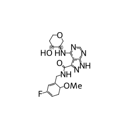 COC1CC=C(F)C=C1CNC(=O)c1n[nH]c2ncnc(N[C@@H]3COCC[C@H]3O)c12